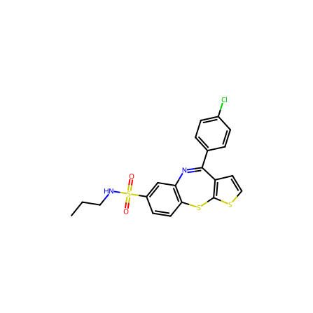 CCCNS(=O)(=O)c1ccc2c(c1)N=C(c1ccc(Cl)cc1)c1ccsc1S2